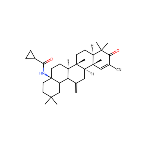 C=C1C[C@@H]2[C@@]3(C)C=C(C#N)C(=O)C(C)(C)[C@@H]3CC[C@@]2(C)[C@]2(C)CC[C@@]3(NC(=O)C4CC4)CCC(C)(C)CC3C12